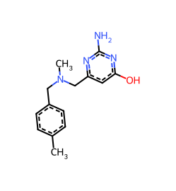 Cc1ccc(CN(C)Cc2cc(O)nc(N)n2)cc1